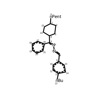 CCCCCC1CCC(C(=NN=Cc2ccc(CCCC)cc2)c2ccccc2)CC1